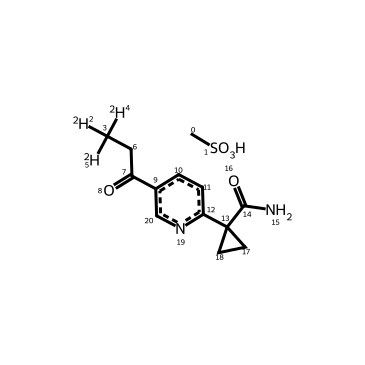 CS(=O)(=O)O.[2H]C([2H])([2H])CC(=O)c1ccc(C2(C(N)=O)CC2)nc1